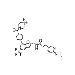 Nc1ccc(C=CC(=O)NCc2cc3cc(C(F)(F)F)cc(-c4ccc(C(=O)N5CCC(F)(F)CC5)cc4)c3o2)cn1